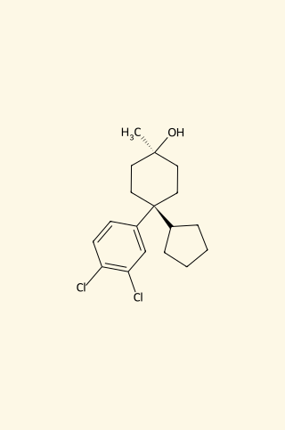 C[C@]1(O)CC[C@@](c2ccc(Cl)c(Cl)c2)(C2CCCC2)CC1